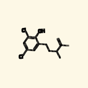 C=C(C)C(C)CCc1cc(Cl)cc(Cl)c1O